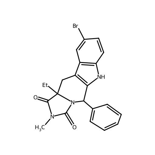 CCC12Cc3c([nH]c4ccc(Br)cc34)C(c3ccccc3)N1C(=O)N(C)C2=O